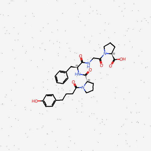 O=C(NCC(=O)N1CCC[C@H]1C(=O)O)[C@H](Cc1ccccc1)NC(=O)[C@@H]1CCCN1C(=O)CCCc1ccc(O)cc1